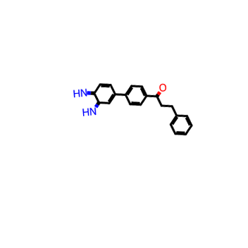 N=C1C=CC(c2ccc(C(=O)CCc3ccccc3)cc2)=CC1=N